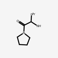 CCCC([NH])C(=O)N1CCCC1